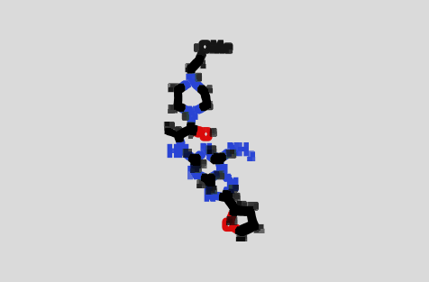 COCCN1CCN(C(=O)[C@H](C)Nc2nc(N)n3nc(-c4ccco4)nc3n2)CC1